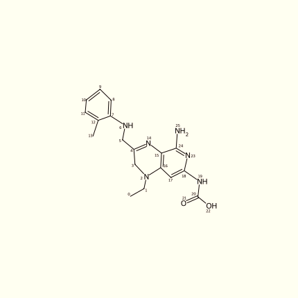 CCN1CC(CNc2ccccc2C)=Nc2c1cc(NC(=O)O)nc2N